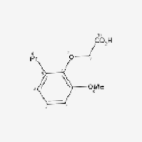 COc1cccc(C(C)C)c1OCC(=O)O